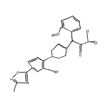 [C-]#[N+]c1cc(-c2nc(C)no2)ccc1N1CCN(C(C(=O)N(CC)CC)c2ccccc2OC)CC1